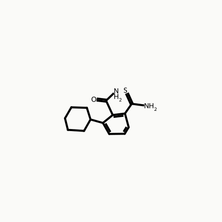 NC(=O)c1c(C(N)=S)cccc1C1CCCCC1